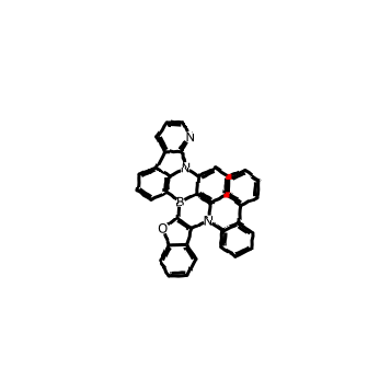 c1ccc(-c2ccccc2N2c3cccc4c3B(c3oc5ccccc5c32)c2cccc3c5cccnc5n-4c23)cc1